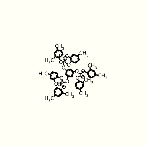 Cc1ccc(OP(=O)(Oc2cc(OP(=O)(Oc3ccc(C)cc3C)Oc3ccc(C)cc3C)cc(OP(=O)(Oc3ccc(C)cc3C)Oc3ccc(C)cc3C)c2)Oc2ccc(C)cc2C)c(C)c1